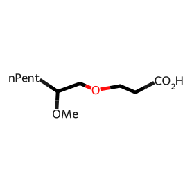 CCCCCC(COCCC(=O)O)OC